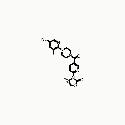 Cc1cc(C#N)cnc1N1CCN(C(=O)c2ccc(N3C(=O)OC[C@H]3C)nc2)CC1